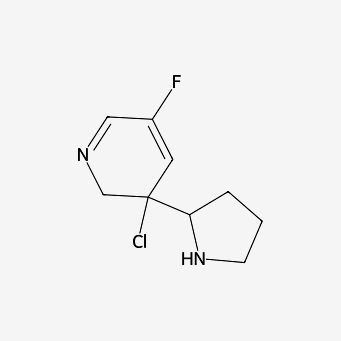 FC1=CC(Cl)(C2CCCN2)CN=C1